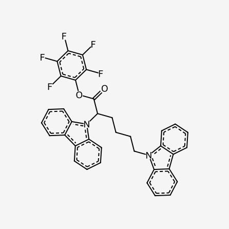 O=C(Oc1c(F)c(F)c(F)c(F)c1F)C(CCCCn1c2ccccc2c2ccccc21)n1c2ccccc2c2ccccc21